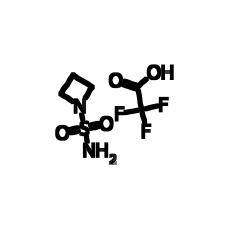 NS(=O)(=O)N1CCC1.O=C(O)C(F)(F)F